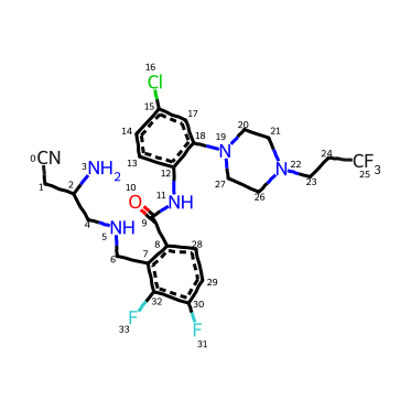 N#CCC(N)CNCc1c(C(=O)Nc2ccc(Cl)cc2N2CCN(CCC(F)(F)F)CC2)ccc(F)c1F